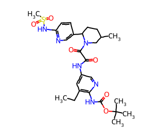 CCc1cc(NC(=O)C(=O)N2CC(C)CCC2c2ccc(NS(C)(=O)=O)nc2)cnc1NC(=O)OC(C)(C)C